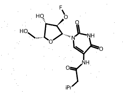 CC(C)CC(=O)Nc1cn([C@@H]2O[C@H](CO)[C@H](O)[C@H]2OF)c(=O)[nH]c1=O